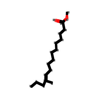 CCCC(C)=CCCCCCCCCCC(=O)OC